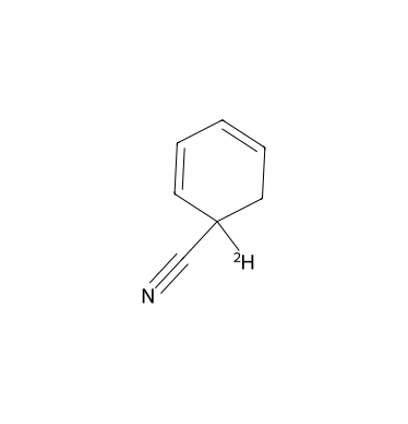 [2H]C1(C#N)C=CC=CC1